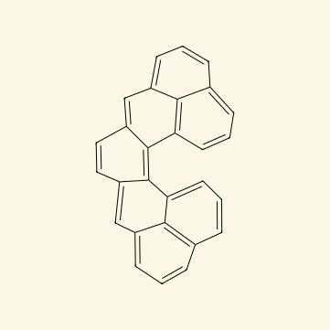 c1cc2cccc3c2c(c1)cc1ccc2cc4cccc5cccc(c54)c2c13